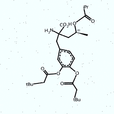 CC(C)C(=O)O[C@@H](C)CC(N)(Cc1ccc(OC(=O)CC(C)(C)C)c(OC(=O)CC(C)(C)C)c1)C(=O)O